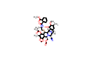 COC(=O)c1ccccc1C(=O)N[C@H](C)CS[C@@H]1c2c(OC(C)=O)c(C)c3c(c2[C@H](COC=O)N2C1[C@@H]1c4c(cc(C)c(OC)c4O)C[C@@H]([C@@H]2C#N)N1C)OCO3